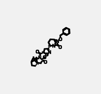 CC1(C)C2CC[C@]13CS(=O)(=O)N(C(=O)[C@H]1CC([C@@H]4CCC5CN4C(=O)N5OCc4ccccc4)=NO1)C3C2